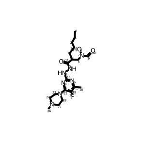 CCCCCC(CN(O)C=O)C(=O)NNc1nc(C)c(F)c(N2CCN(C)CC2)n1